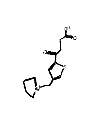 O=C(O)CCC(=O)c1cc(CN2CCCC2)cs1